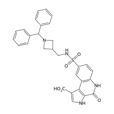 O=C(O)c1c[nH]c2c(=O)[nH]c3ccc(S(=O)(=O)NCC4CN(C(c5ccccc5)c5ccccc5)C4)cc3c12